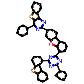 c1ccc(-c2nc(-c3cccc4c3oc3cc(-c5nc(-c6ccccc6)c6sc7ccccc7c6n5)ccc34)nc(-c3cccc4sc5ccccc5c34)n2)cc1